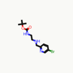 CC(C)(C)OC(=O)NCCNCc1ccc(Br)cn1